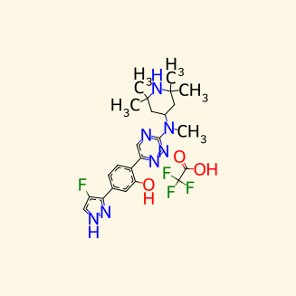 CN(c1ncc(-c2ccc(-c3n[nH]cc3F)cc2O)nn1)C1CC(C)(C)NC(C)(C)C1.O=C(O)C(F)(F)F